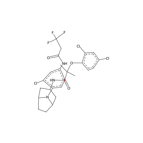 CC(C)(Oc1ccc(Cl)cc1Cl)C(=O)NC1CC2CCC(C1)N2c1ccc(NC(=O)CC(F)(F)F)cc1Cl